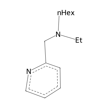 CCCCCCN(CC)Cc1ccccn1